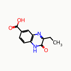 CCc1nc2cc(C(=O)O)ccc2[nH]c1=O